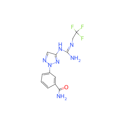 NC(=O)c1cccc(-n2ncc(N/C(N)=N\CC(F)(F)F)n2)c1